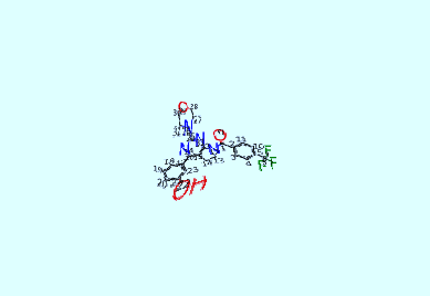 O=C(c1ccc(C(F)(F)F)cc1)N1CCc2c(-c3cccc(O)c3)nc(N3CCOCC3)nc21